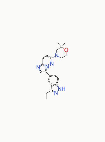 CCc1n[nH]c2ccc(-c3cnc4ccc(N5CCOC(C)(C)C5)nn34)cc12